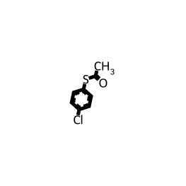 CC(=O)Sc1ccc(Cl)cc1